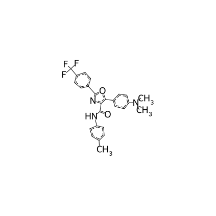 Cc1ccc(NC(=O)c2nc(-c3ccc(C(F)(F)F)cc3)oc2-c2ccc(N(C)C)cc2)cc1